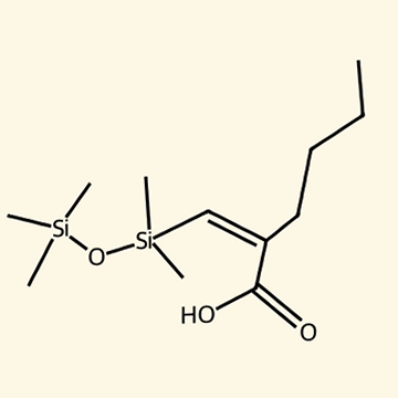 CCCCC(=C[Si](C)(C)O[Si](C)(C)C)C(=O)O